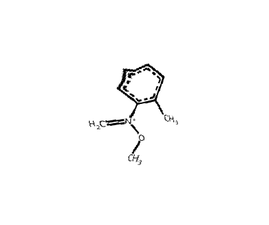 C=[N+](OC)c1ccccc1C